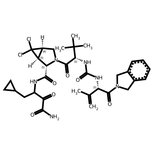 C=C(C)[C@H](NC(=O)N[C@H](C(=O)N1C[C@H]2[C@@H]([C@H]1C(=O)NC(CC1CC1)C(=O)C(N)=O)C2(Cl)Cl)C(C)(C)C)C(=O)N1Cc2ccccc2C1